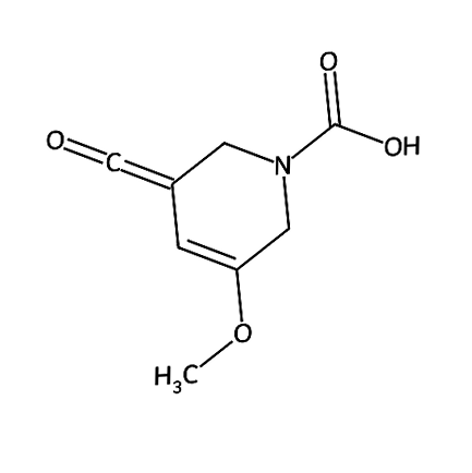 COC1=CC(=C=O)CN(C(=O)O)C1